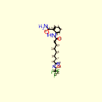 NC(=O)c1ccccc1NC(=O)CCCCCCCc1noc(C(F)(F)F)n1